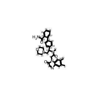 Cc1cc2ncc(=O)n(CC(=O)N(C)C(CN3CCOCC3)c3ccc(-c4ccccc4C(N)=O)cc3)c2cc1C